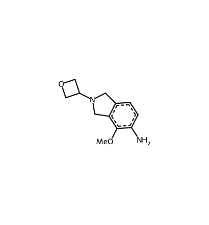 COc1c(N)ccc2c1CN(C1COC1)C2